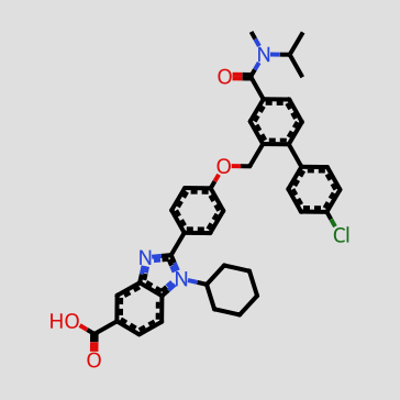 CC(C)N(C)C(=O)c1ccc(-c2ccc(Cl)cc2)c(COc2ccc(-c3nc4cc(C(=O)O)ccc4n3C3CCCCC3)cc2)c1